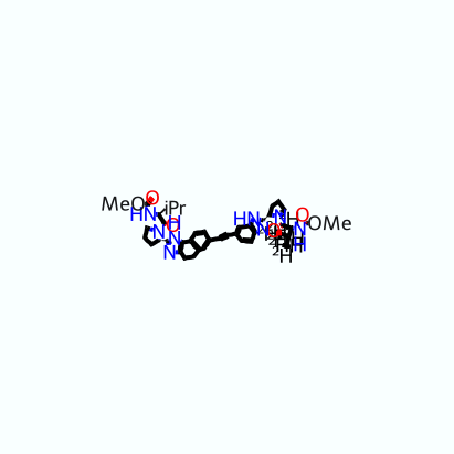 [2H]C([2H])([2H])C([2H])(C([2H])([2H])[2H])[C@]([2H])(NC(=O)OC)C(=O)N1CCC[C@H]1c1nc2ccc(C#Cc3ccc4c(c3)CCc3nc([C@@H]5CCCN5C(=O)[C@@H](NC(=O)OC)C(C)C)[nH]c3-4)cc2[nH]1